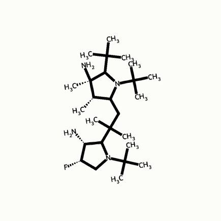 C[C@H]1C(CC(C)(C)C2[C@@H](N)[C@@H](F)CN2C(C)(C)C)N(C(C)(C)C)C(C(C)(C)C)[C@]1(C)N